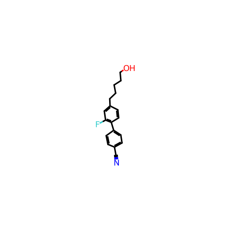 N#Cc1ccc(-c2ccc(CCCCCO)cc2F)cc1